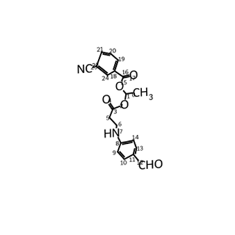 CC(OC(=O)CCNc1ccc(C=O)cc1)OC(=O)c1cccc(C#N)c1